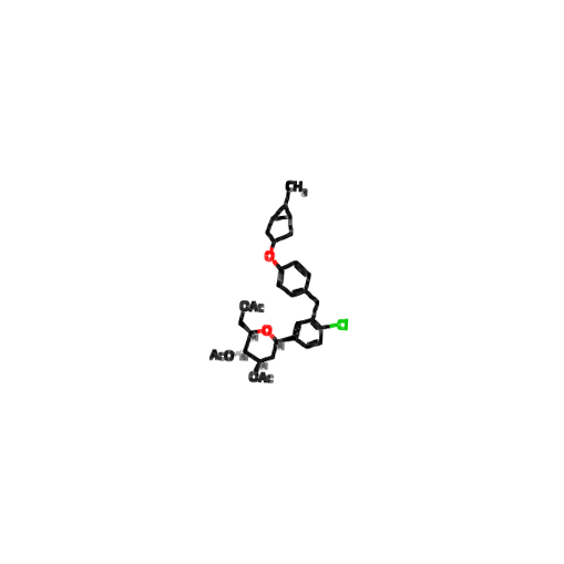 CC(=O)OC[C@H]1O[C@@H](c2ccc(Cl)c(Cc3ccc(OC4CC5C(C)C5C4)cc3)c2)C[C@@H](OC(C)=O)[C@@H]1OC(C)=O